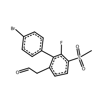 CS(=O)(=O)c1ccc(CC=O)c(-c2ccc(Br)cc2)c1F